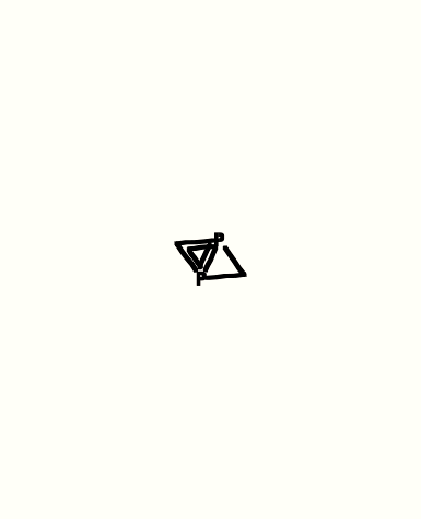 C1=P2=P=1C2